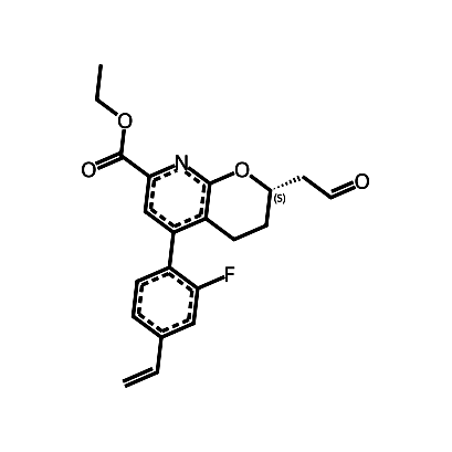 C=Cc1ccc(-c2cc(C(=O)OCC)nc3c2CC[C@@H](CC=O)O3)c(F)c1